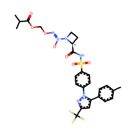 Cc1ccc(-c2cc(C(F)(F)F)nn2-c2ccc(S(=O)(=O)NC(=O)[C@@H]3CCN3[N+]([O-])=NOCOC(=O)C(C)C)cc2)cc1